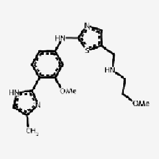 COCCNCc1cnc(Nc2ccc(-c3nc(C)c[nH]3)c(OC)c2)s1